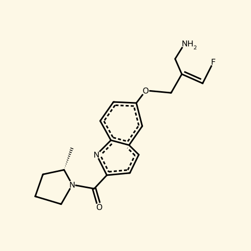 C[C@H]1CCCN1C(=O)c1ccc2cc(OC/C(=C/F)CN)ccc2n1